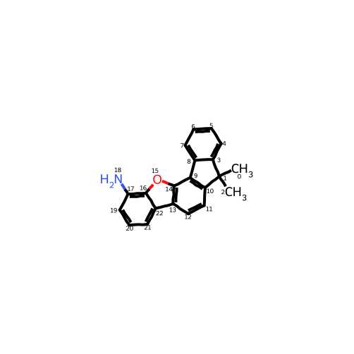 CC1(C)c2ccccc2-c2c1ccc1c2oc2c(N)cccc21